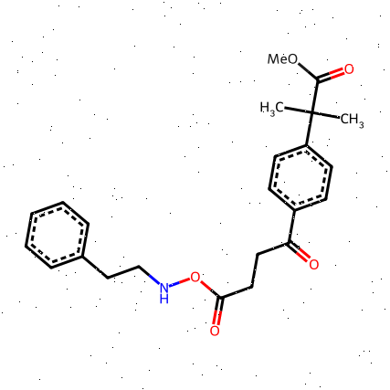 COC(=O)C(C)(C)c1ccc(C(=O)CCC(=O)ONCCc2ccccc2)cc1